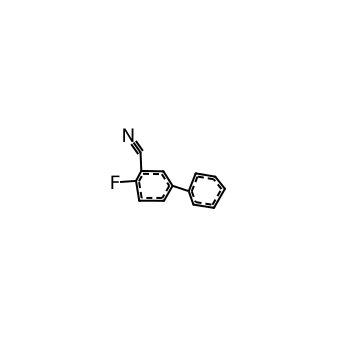 N#Cc1cc(-c2ccccc2)ccc1F